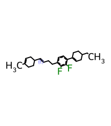 CCC1CC=C(c2ccc(CC/C=C/C3CC=C(C)CC3)c(F)c2F)CC1